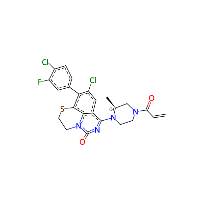 C=CC(=O)N1CCN(c2nc(=O)n3c4c(c(-c5ccc(Cl)c(F)c5)c(Cl)cc24)SCC3)[C@@H](C)C1